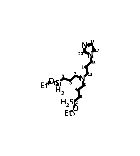 CCO[SiH2]CCCN(CCC[SiH2]OCC)CCCn1ccnc1